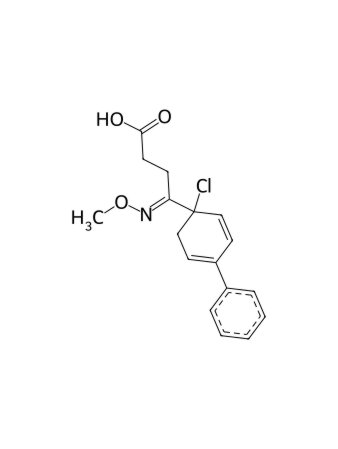 CON=C(CCC(=O)O)C1(Cl)C=CC(c2ccccc2)=CC1